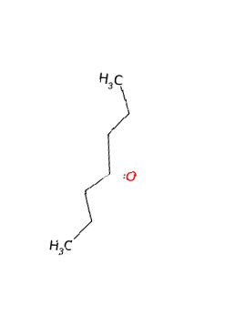 CCCCCCC.[O]